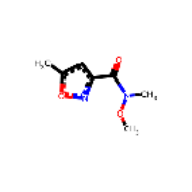 CON(C)C(=O)c1cc(C)on1